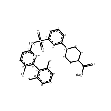 COC(=O)C1CCN(c2cccc(S(=O)(=O)Nc3ccc(Cl)c(-c4c(C)cccc4C)n3)n2)CC1